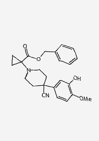 COc1ccc(C2(C#N)CCN(C3(C(=O)OCc4ccccc4)CC3)CC2)cc1O